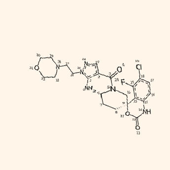 Nc1c(C(=O)N2CCC[C@@]3(C2)OC(=O)Nc2ccc(Cl)c(F)c23)cnn1CCN1CCOCC1